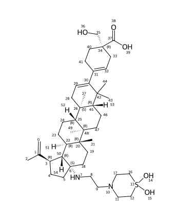 C=C(C)[C@@H]1CC[C@]2(NCCN3CCS(O)(O)CC3)CC[C@]3(C)[C@H](CC[C@@H]4[C@@]5(C)CC=C(C6=CC[C@](CO)(C(=O)O)CC6)C(C)(C)[C@@H]5CC[C@]43C)[C@@H]12